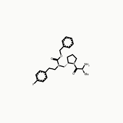 CC(C)(C)[C@H](N)C(=O)N1CCC[C@H]1CN(CCc1ccc(F)cc1)C(=O)OCc1ccccc1